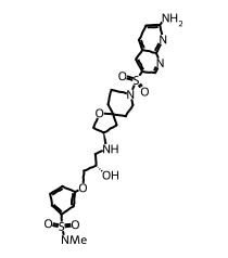 CNS(=O)(=O)c1cccc(OC[C@@H](O)CN[C@H]2COC3(CCN(S(=O)(=O)c4cnc5nc(N)ccc5c4)CC3)C2)c1